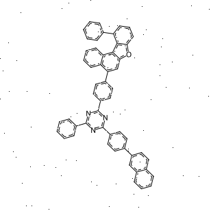 c1ccc(-c2nc(-c3ccc(-c4ccc5ccccc5c4)cc3)nc(-c3ccc(-c4cc5oc6cccc(-c7ccccc7)c6c5c5ccccc45)cc3)n2)cc1